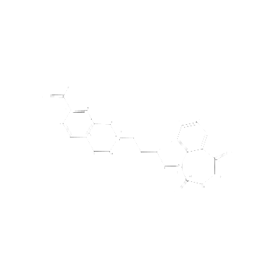 CCC(=O)c1ccc2c(c1)CN(CCCCN1C(=O)CCC(=O)c3ccccc31)CC2